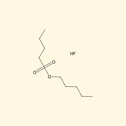 CCCCCOS(=O)(=O)CCCC.F